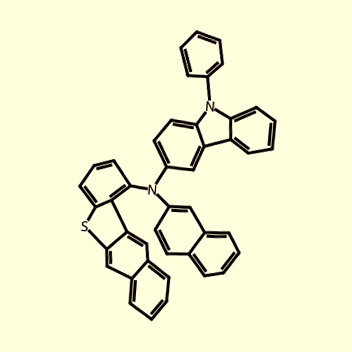 c1ccc(-n2c3ccccc3c3cc(N(c4ccc5ccccc5c4)c4cccc5sc6cc7ccccc7cc6c45)ccc32)cc1